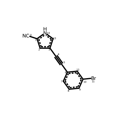 N#Cc1cc(C#Cc2cccc(Br)c2)c[nH]1